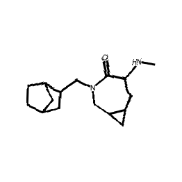 CNC1CC2CC2CN(CC2CC3CCC2C3)C1=O